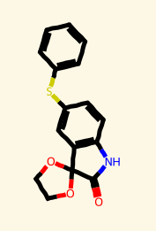 O=C1Nc2ccc(Sc3ccccc3)cc2C12OCCO2